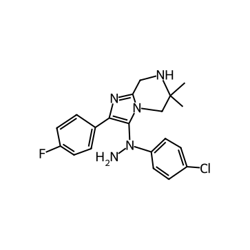 CC1(C)Cn2c(nc(-c3ccc(F)cc3)c2N(N)c2ccc(Cl)cc2)CN1